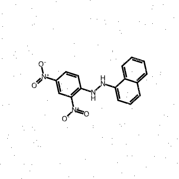 O=[N+]([O-])c1ccc(NNc2cccc3ccccc23)c([N+](=O)[O-])c1